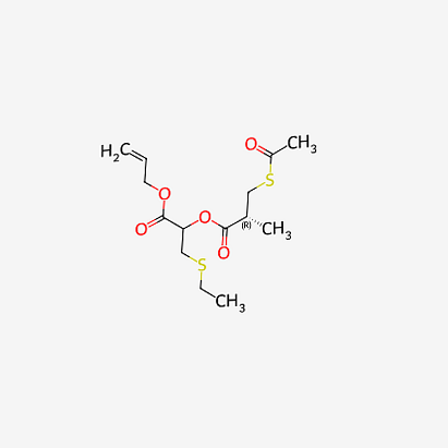 C=CCOC(=O)C(CSCC)OC(=O)[C@@H](C)CSC(C)=O